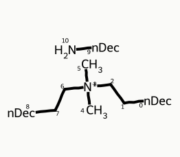 CCCCCCCCCCCC[N+](C)(C)CCCCCCCCCCCC.CCCCCCCCCCN